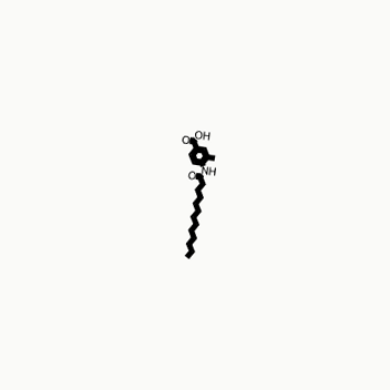 CCCCCCCCCCCCC(=O)Nc1ccc(C(=O)O)cc1C